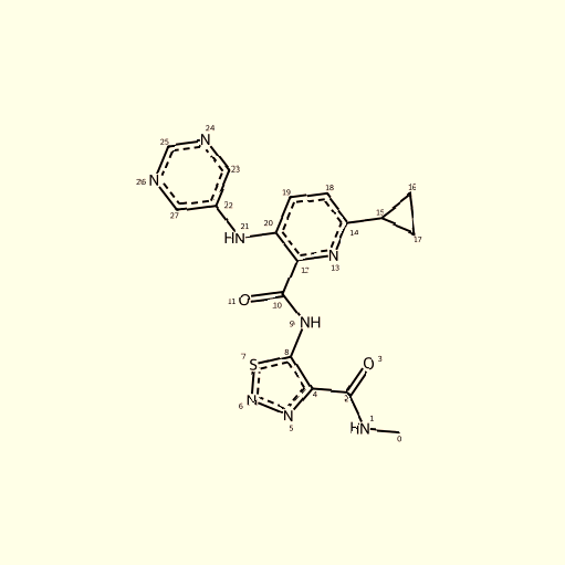 CNC(=O)c1nnsc1NC(=O)c1nc(C2CC2)ccc1Nc1cncnc1